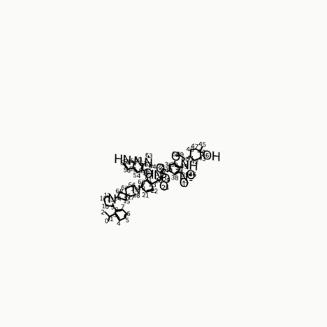 CC(C)c1ccccc1[C@H]1CCCN1C1CC2(CCN(c3ccc(C(=O)NS(=O)(=O)c4cc5c(c([N+](=O)[O-])c4)N[C@@H](C4CCC(C)(O)CC4)CO5)c(Oc4cc5cc[nH]c5nc4N(C)C)c3)CC2)C1